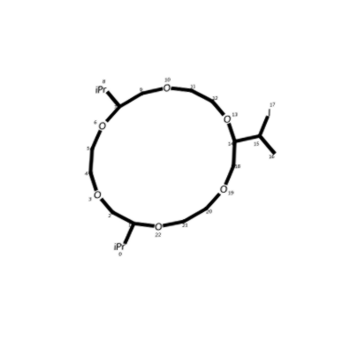 CC(C)C1COCCOC(C(C)C)COCCOC(C(C)I)COCCO1